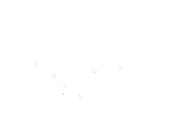 CCc1ccc(CN(C)CC(=O)N2CCc3c(ncnc3NCC3C4CC5CC(C4)CC3C5)C2)cc1